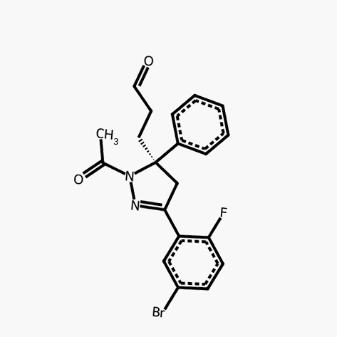 CC(=O)N1N=C(c2cc(Br)ccc2F)C[C@]1(CCC=O)c1ccccc1